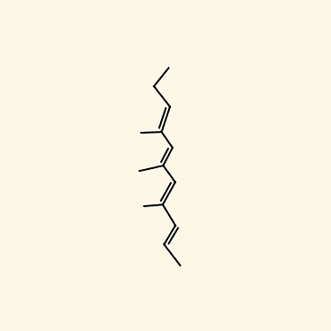 C/C=C/C(C)=C/C(C)=C/C(C)=C/CC